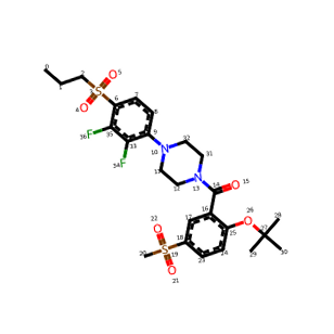 CCCS(=O)(=O)c1ccc(N2CCN(C(=O)c3cc(S(C)(=O)=O)ccc3OC(C)(C)C)CC2)c(F)c1F